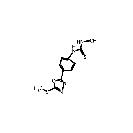 CNC(=S)Nc1ccc(-c2nnc(SC)o2)cc1